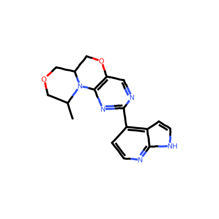 CC1COCC2COc3cnc(-c4ccnc5[nH]ccc45)nc3N12